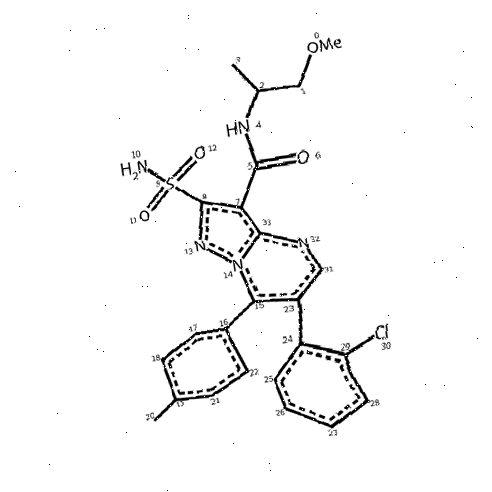 COCC(C)NC(=O)c1c(S(N)(=O)=O)nn2c(-c3ccc(C)cc3)c(-c3ccccc3Cl)cnc12